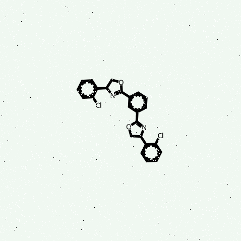 Clc1ccccc1C1COC(c2cccc(C3=NC(c4ccccc4Cl)CO3)c2)=N1